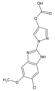 COc1cc2nc(-n3cc(OC(=O)O)cn3)[nH]c2cc1Cl